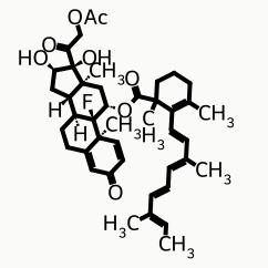 CC=C(C)C=CC=C(C)C=CC1=C(C)CCCC1(C)C(=O)O[C@H]1C[C@@]2(C)[C@@H](C[C@@H](O)[C@]2(O)C(=O)COC(C)=O)[C@@H]2CCC3=CC(=O)C=C[C@]3(C)[C@@]12F